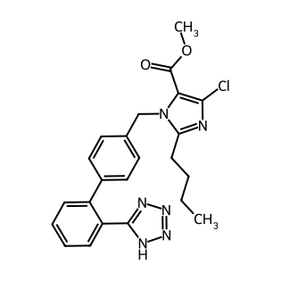 CCCCc1nc(Cl)c(C(=O)OC)n1Cc1ccc(-c2ccccc2-c2nnn[nH]2)cc1